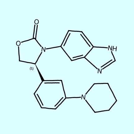 O=C1OC[C@H](c2cccc(N3CCCCC3)c2)N1c1ccc2[nH]cnc2c1